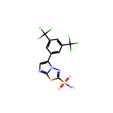 NS(=O)(=O)c1nn2c(-c3cc(C(F)(F)F)cc(C(F)(F)F)c3)cnc2s1